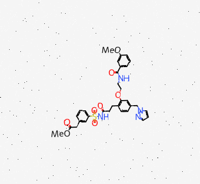 COC(=O)Cc1cccc(S(=O)(=O)NC(=O)CCc2ccc(Cn3cccn3)cc2OCCNC(=O)c2cccc(OC)c2)c1